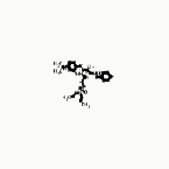 CCCN(CCC)S(=O)(=O)CCC(=O)N[C@@H](Cc1ccc(C(C)C)cc1)[C@@H](O)CNCc1ccccc1